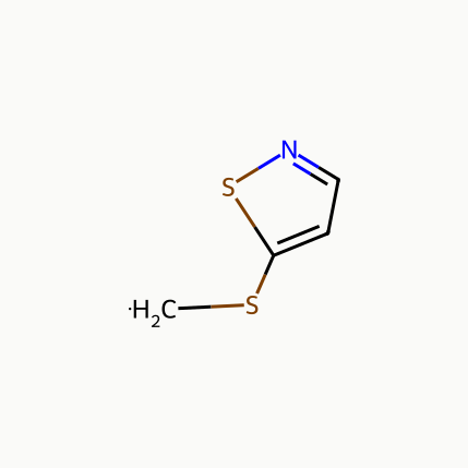 [CH2]Sc1ccns1